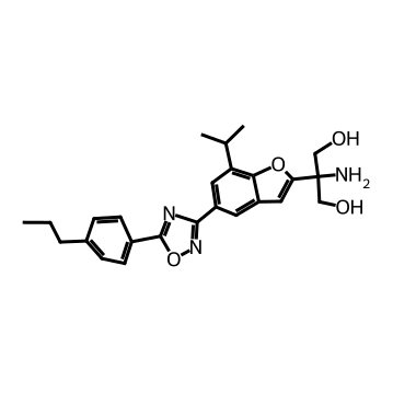 CCCc1ccc(-c2nc(-c3cc(C(C)C)c4oc(C(N)(CO)CO)cc4c3)no2)cc1